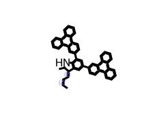 C/C=C\C=C1\c2cc(-c3ccc4c5ccccc5c5ccccc5c4c3)cc(-c3ccc4c5ccccc5c5ccccc5c4c3)c2NC1C